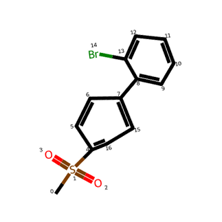 CS(=O)(=O)c1ccc(-c2ccccc2Br)cc1